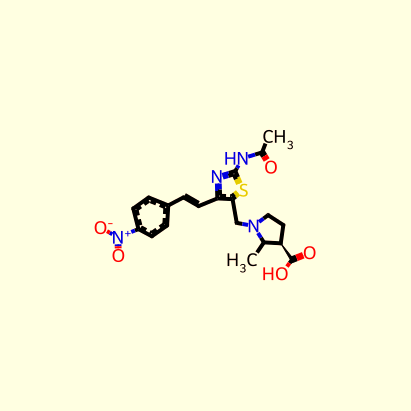 CC(=O)Nc1nc(C=Cc2ccc([N+](=O)[O-])cc2)c(CN2CC[C@@H](C(=O)O)C2C)s1